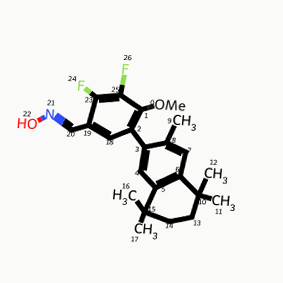 COc1c(-c2cc3c(cc2C)C(C)(C)CCC3(C)C)cc(C=NO)c(F)c1F